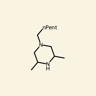 CCCCCCN1CC(C)NC(C)C1